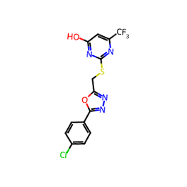 Oc1cc(C(F)(F)F)nc(SCc2nnc(-c3ccc(Cl)cc3)o2)n1